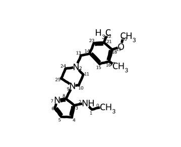 CCNc1cccnc1N1CCN(Cc2cc(C)c(OC)c(C)c2)CC1